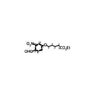 CCOC(=O)CCCCOc1ccc(C=O)c([N+](=O)[O-])c1